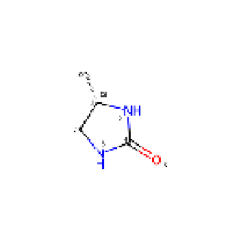 C[C@H]1CNC(=O)N1